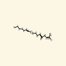 CCCCCC=CCCCCC=C(F)CC=C(C)F